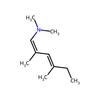 CC/C(C)=C/C(C)=C\N(C)C